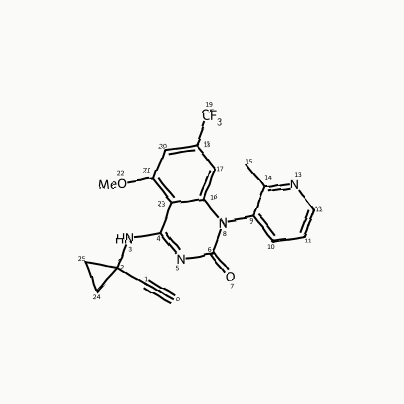 C#CC1(Nc2nc(=O)n(-c3cccnc3C)c3cc(C(F)(F)F)cc(OC)c23)CC1